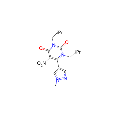 CC(C)Cn1c(-c2cnn(C)c2)c([N+](=O)[O-])c(=O)n(CC(C)C)c1=O